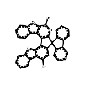 Brc1nc2c(c3c1oc1ccccc13)-c1c(cc(Br)c3c1oc1ccccc13)C21c2ccccc2-c2ccccc21